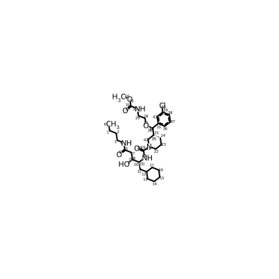 CCCCNC(=O)C[C@H](O)[C@H](CC1CCCCC1)NC(=O)N1CCC[C@@H]([C@@H](OCCNC(=O)OC)c2cccc(Cl)c2)C1